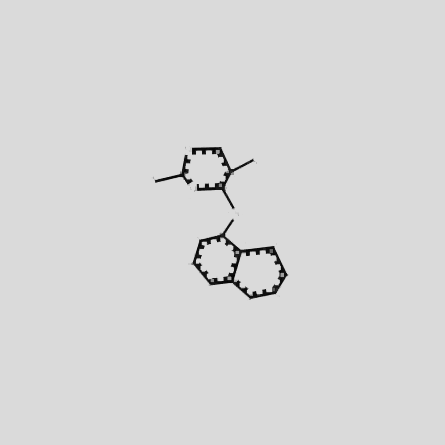 Cc1ncc(C)c(Nc2cccc3ccccc23)n1